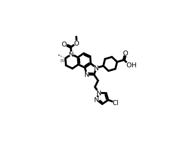 COC(=O)N1c2ccc3c(nc(CCn4cc(Cl)cn4)n3C3CCC(C(=O)O)CC3)c2CC[C@@H]1C